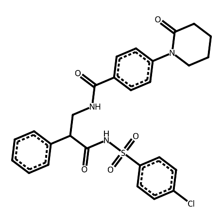 O=C(NCC(C(=O)NS(=O)(=O)c1ccc(Cl)cc1)c1ccccc1)c1ccc(N2CCCCC2=O)cc1